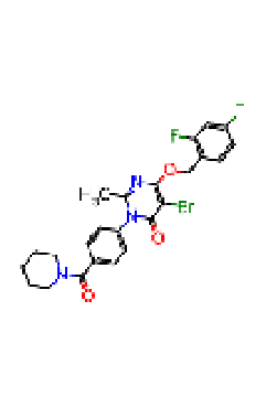 Cc1nc(OCc2ccc(F)cc2F)c(Br)c(=O)n1-c1ccc(C(=O)N2CCCCC2)cc1